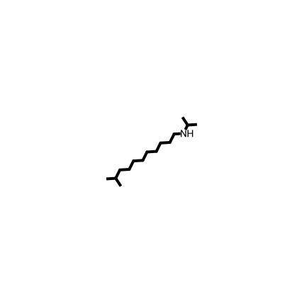 CC(C)CCCCCCCCCNC(C)C